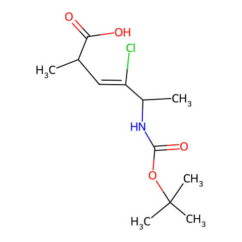 CC(C=C(Cl)C(C)NC(=O)OC(C)(C)C)C(=O)O